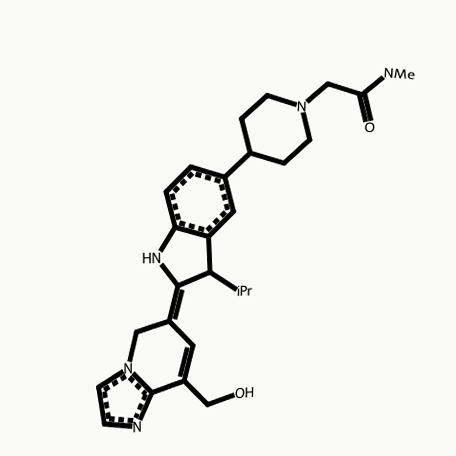 CNC(=O)CN1CCC(c2ccc3c(c2)C(C(C)C)C(=C2C=C(CO)c4nccn4C2)N3)CC1